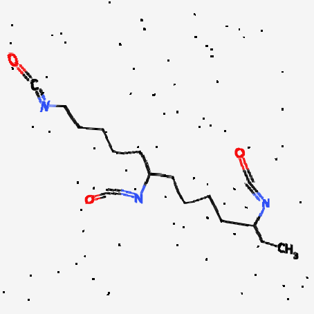 CCC(CCCCC(CCCCCN=C=O)N=C=O)N=C=O